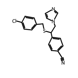 N#Cc1ccc(C(Cn2ccnc2)SCc2ccc(Cl)cc2)cc1